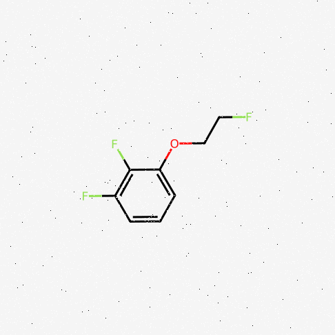 FCCOc1cccc(F)c1F